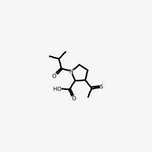 CC(=S)C1CCN(C(=O)C(C)C)C1C(=O)O